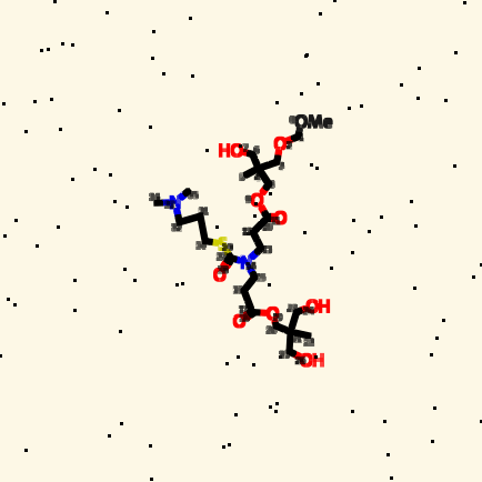 COCOCC(C)(CO)COC(=O)CCN(CCC(=O)OCC(C)(CO)CO)C(=O)SCCCN(C)C